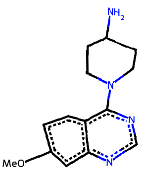 COc1ccc2c(N3CCC(N)CC3)ncnc2c1